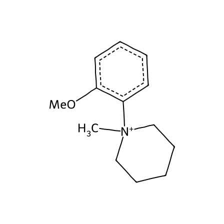 COc1ccccc1[N+]1(C)CCCCC1